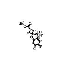 C=CC1(Oc2cc(Cl)c(F)cc2C#N)CN(C(=O)OC(C)(C)C)C1